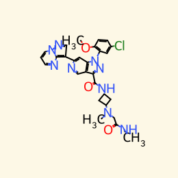 CNC(=O)CN(C)C1CC(NC(=O)c2nn(-c3cc(Cl)ccc3OC)c3cc(-c4cnn5cccnc45)ncc23)C1